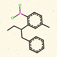 CCC(Cc1ccccc1)c1cc(C)ccc1P(Cl)Cl